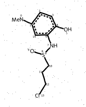 CNc1ccc(O)c(N[S+]([O-])CCCCl)c1